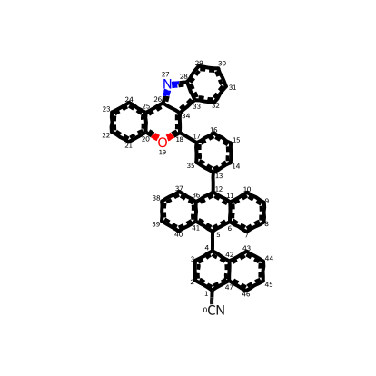 N#Cc1ccc(-c2c3ccccc3c(-c3cccc(-c4oc5ccccc5c5nc6ccccc6c4-5)c3)c3ccccc23)c2ccccc12